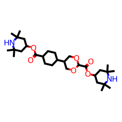 CC1(C)CC(OC(=O)C2CCC(C3COC(C(=O)OC4CC(C)(C)NC(C)(C)C4)OC3)CC2)CC(C)(C)N1